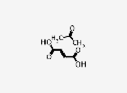 CC(C)=O.O=C(O)/C=C/C(=O)O